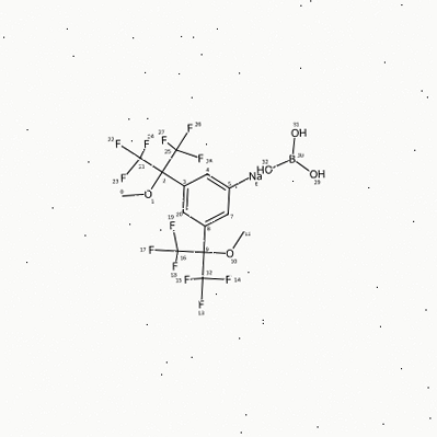 COC(c1c[c]([Na])cc(C(OC)(C(F)(F)F)C(F)(F)F)c1)(C(F)(F)F)C(F)(F)F.OB(O)O